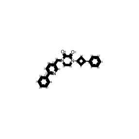 O=C1C(=O)N([C@H]2C[C@H](c3ccccc3)C2)CCN1Cc1ccc(-c2ccccc2)nc1